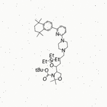 CC[Si](CC)(CC)OC(CCCN1CCN(c2cccc(-c3ccc4c(c3)C(C)(C)CCC4(C)C)n2)CC1)C1COC(C)(C)N1C(=O)OC(C)(C)C